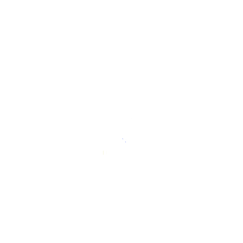 CC#CC1CCN(CS)CC1